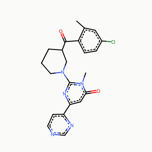 Cc1cc(Cl)ccc1C(=O)C1CCCN(c2nc(-c3ccncn3)cc(=O)n2C)C1